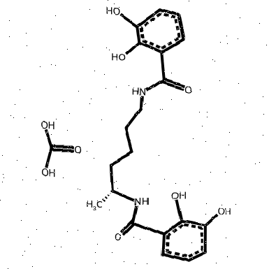 C[C@H](CCCCNC(=O)c1cccc(O)c1O)NC(=O)c1cccc(O)c1O.O=C(O)O